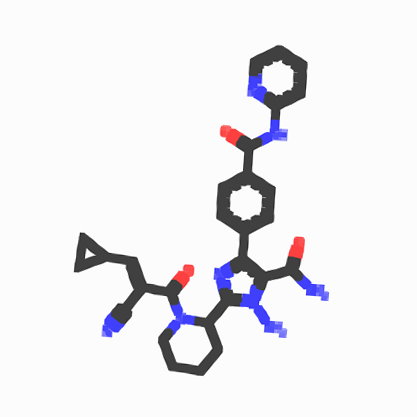 N#C/C(=C\C1CC1)C(=O)N1CCCCC1c1nc(-c2ccc(C(=O)Nc3ccccn3)cc2)c(C(N)=O)n1N